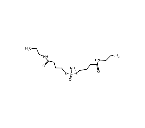 CCCNC(=O)CCCSP(N)(=O)SCCCC(=O)NCCC